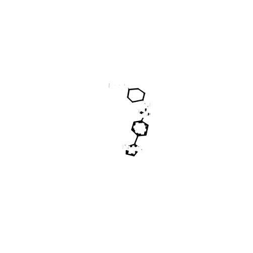 O=C(O)[C@H]1CC[C@H](NS(=O)(=O)c2ccc(-c3ncc[nH]3)cc2)CC1